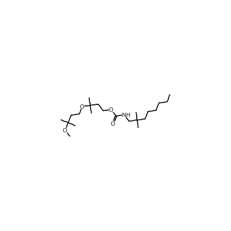 CCCCCCC(C)(C)CNC(=O)OCCC(C)(C)OCCC(C)(C)OC